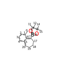 Cc1cccc2c1=C(B1OC(C)(C)C(C)(C)O1)CCCC=2